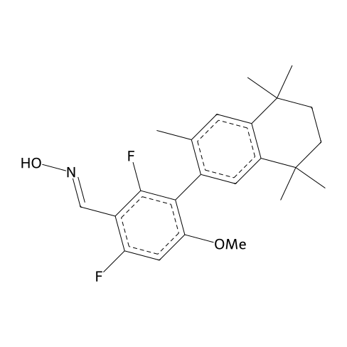 COc1cc(F)c(C=NO)c(F)c1-c1cc2c(cc1C)C(C)(C)CCC2(C)C